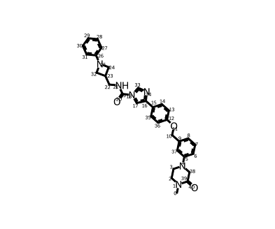 CN1CCN(c2cccc(COc3ccc(-c4cn(C(=O)NCC5CN(c6ccccc6)C5)cn4)cc3)c2)CC1=O